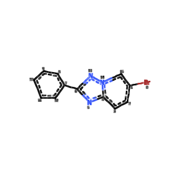 Brc1ccc2nc(-c3ccccc3)nn2c1